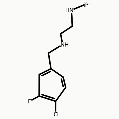 CC(C)NCCNCc1ccc(Cl)c(F)c1